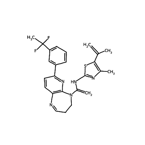 C=C(C)c1sc(NC(=C)N2CCC=Nc3ccc(-c4cccc(C(C)(F)F)c4)nc32)nc1C